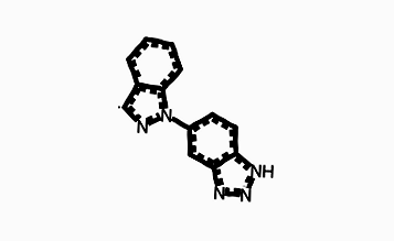 [c]1nn(-c2ccc3[nH]nnc3c2)c2ccccc12